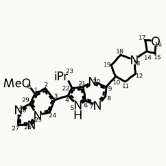 COc1cc(-c2[nH]c3ncc(C4CCN(C5COC5)CC4)nc3c2C(C)C)cn2ncnc12